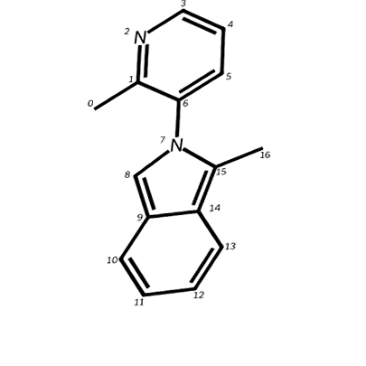 Cc1ncccc1-n1cc2ccccc2c1C